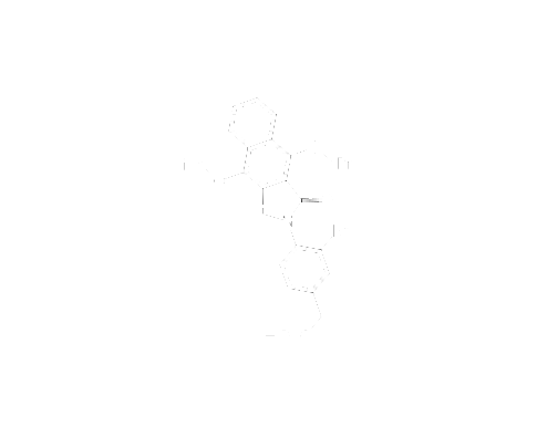 CC(C)Oc1c2c(c(OC(C)C)c3ccccc13)C(=O)N(c1ccc(CC(=O)O)cc1Br)C2